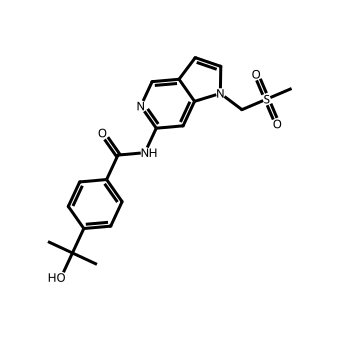 CC(C)(O)c1ccc(C(=O)Nc2cc3c(ccn3CS(C)(=O)=O)cn2)cc1